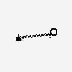 O=C(CCOCCOCCOCCOCCOCCC(=O)C1CCCCCCCCCCC1)Oc1c(F)c(F)c(F)c(F)c1F